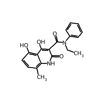 CCN(C(=O)c1c(O)c2c(O)ccc(C)c2[nH]c1=O)c1ccccc1